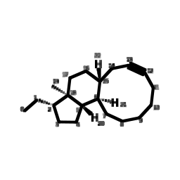 CC[C@H]1CC[C@H]2[C@@H]3CCCCCC#CC[C@H]3CC[C@]12C